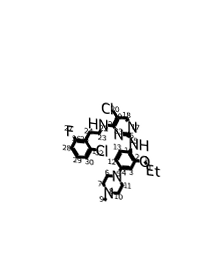 CCOc1cc(N2CCN(C)CC2)ccc1Nc1ncc(Cl)c(NCCc2c(F)cccc2Cl)n1